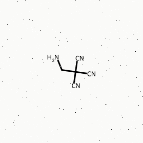 N#CC(C#N)(C#N)CN